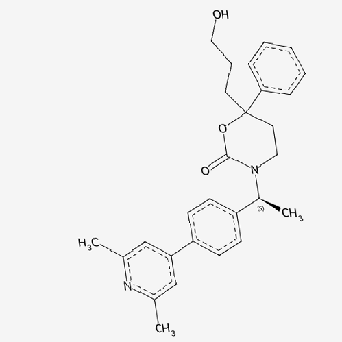 Cc1cc(-c2ccc([C@H](C)N3CCC(CCCO)(c4ccccc4)OC3=O)cc2)cc(C)n1